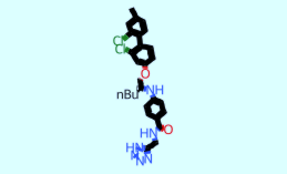 CCCC[C@@H](COc1ccc(-c2ccc(C)cc2Cl)c(Cl)c1)Nc1ccc(C(=O)NCc2nnn[nH]2)cc1